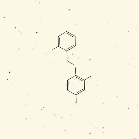 Cc1ccccc1COc1ccc(N)cc1Cl